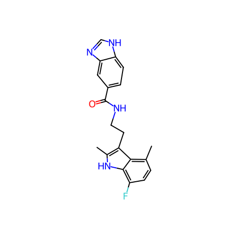 Cc1[nH]c2c(F)ccc(C)c2c1CCNC(=O)c1ccc2[nH]cnc2c1